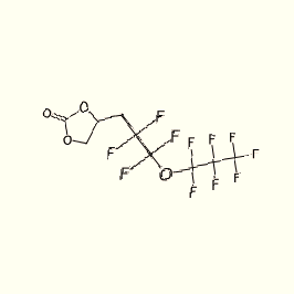 O=C1OCC(CC(F)(F)C(F)(F)OC(F)(F)C(F)(F)C(F)(F)F)O1